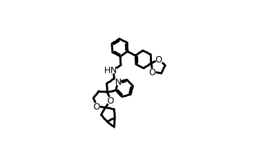 C1=C(c2ccccc2CNCCC2(c3ccccn3)CCOC3(CC4CC4C3)O2)CCC2(C1)OCCO2